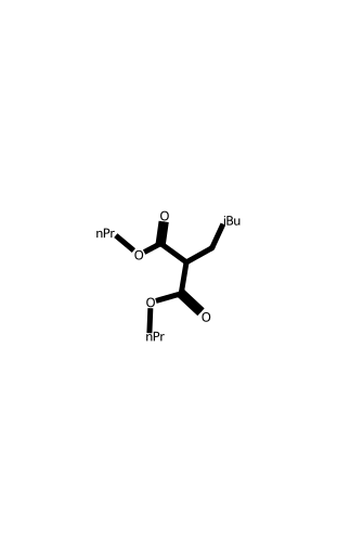 CCCOC(=O)C(CC(C)CC)C(=O)OCCC